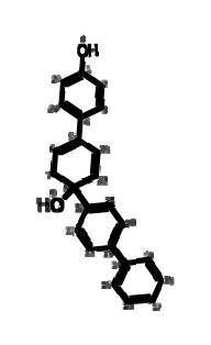 Oc1ccc(C2=CCC(O)(c3ccc(-c4ccccc4)cc3)C=C2)cc1